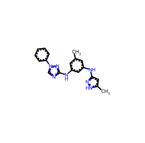 Cc1cc(Nc2cc(C)[nH]n2)cc(Nc2ncn(-c3ccccc3)n2)c1